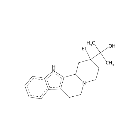 CCC1(C(C)(C)O)CCN2CCc3c([nH]c4ccccc34)C2C1